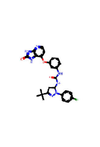 CC(C)(C)C1=NN(c2ccc(F)cc2)C(NC(=O)Nc2cccc(Oc3ccnc4[nH]c(=O)[nH]c34)c2)C1